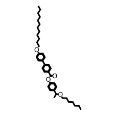 CCCCCCCCCCCCOc1ccc(-c2ccc(C(=O)Oc3ccc(C(C)OCCCCCCC)cc3)cc2)cc1